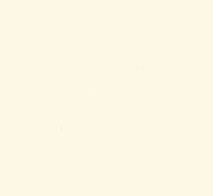 CCCCCCC[C@H]1CC[C@H](C2CCC3(CC2)C(=O)C2(CCC([C@H]4CC[C@H](CC)CC4)CC2)C3(Cl)Cl)CC1